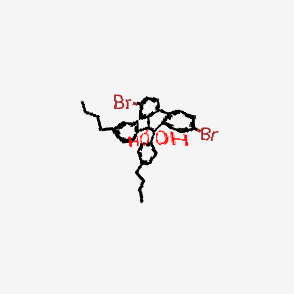 CCCCc1ccc(C2(O)c3cc(Br)ccc3-c3ccc(Br)cc3C2(O)c2ccc(CCCC)cc2)cc1